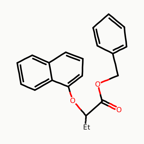 [CH2]CC(Oc1cccc2ccccc12)C(=O)OCc1ccccc1